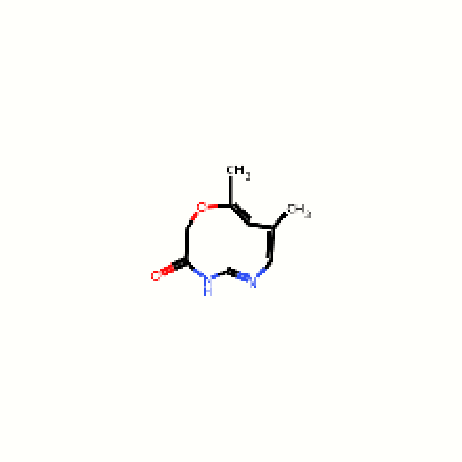 CC1=C/N=C/NC(=O)CO\C(C)=C\1